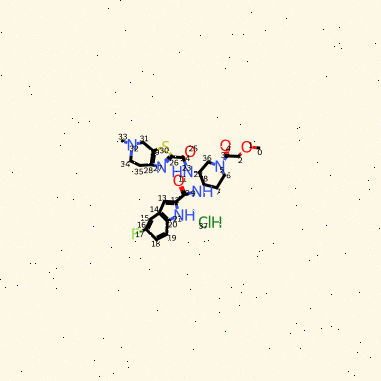 COCC(=O)N1CC[C@H](NC(=O)c2cc3cc(F)ccc3[nH]2)[C@H](NC(=O)c2nc3c(s2)CN(C)CC3)C1.Cl